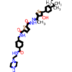 C/C(=N\NC(=O)c1ccc(C(=O)NCc2ccc(C(=O)NCCN3CCNCC3)cc2)s1)c1csc(-c2ccc(C(C)(C)C)cc2)c1O